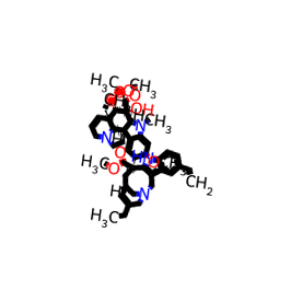 C=Cc1ccc2[nH]c3c(c2c1)CN1CC(CC)=C[C@@H](C1)C[C@]3(C(=O)OC)C1C=C2C(=CC1OC)N(C)[C@H]1[C@@](O)(C(=O)OC)[C@H](OC(C)=O)[C@]3(CC)C=CCN4CC[C@]21[C@@H]43